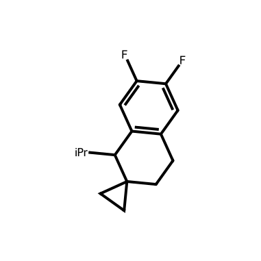 CC(C)C1c2cc(F)c(F)cc2CCC12CC2